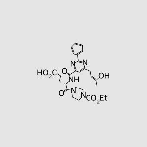 CCOC(=O)N1CCN(C(=O)[C@H](CCC(=O)O)NC(=O)c2cc(C/C=C(/C)O)nc(-c3ccccc3)n2)CC1